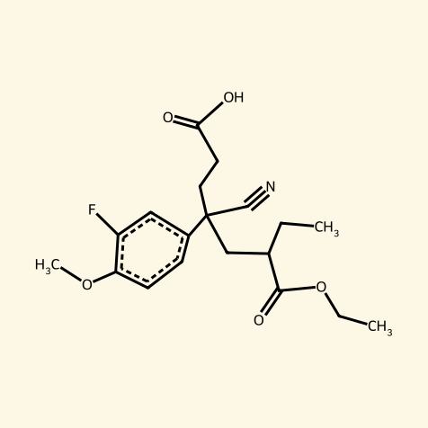 CCOC(=O)C(CC)CC(C#N)(CCC(=O)O)c1ccc(OC)c(F)c1